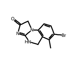 Cc1c(Br)ccc2c1CNC1=NC(=O)CN12